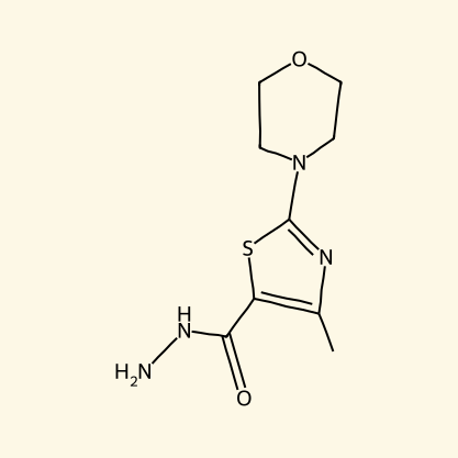 Cc1nc(N2CCOCC2)sc1C(=O)NN